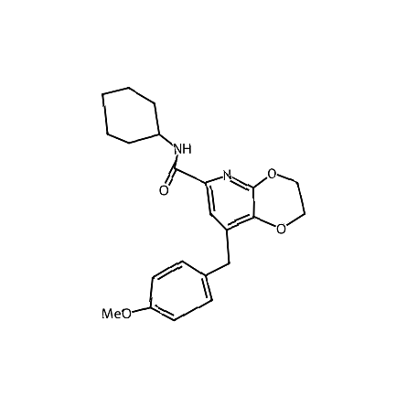 COc1ccc(Cc2cc(C(=O)NC3CCCCC3)nc3c2OCCO3)cc1